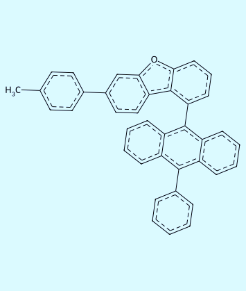 Cc1ccc(-c2ccc3c(c2)oc2cccc(-c4c5ccccc5c(-c5ccccc5)c5ccccc45)c23)cc1